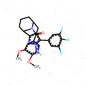 COc1cc(C(=O)N2C3CCCC2c2nn(C)c(-c4cc(F)c(F)c(F)c4)c2C3)cnc1OC